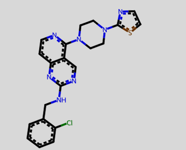 Clc1ccccc1CNc1ncc2c(N3CCN(c4nccs4)CC3)nccc2n1